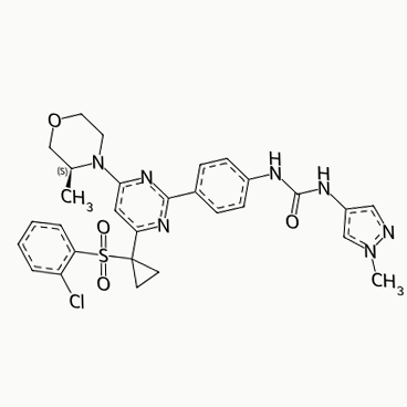 C[C@H]1COCCN1c1cc(C2(S(=O)(=O)c3ccccc3Cl)CC2)nc(-c2ccc(NC(=O)Nc3cnn(C)c3)cc2)n1